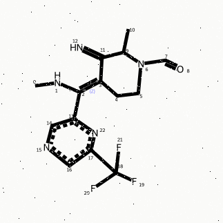 CN/C(=C1/CCN(C=O)C(C)C1=N)c1cncc(C(F)(F)F)n1